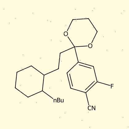 CCCCC1CCCCC1CCC1(c2ccc(C#N)c(F)c2)OCCCO1